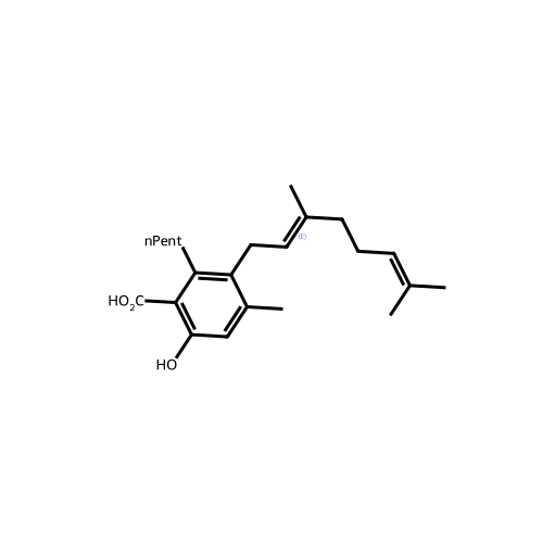 CCCCCc1c(C/C=C(\C)CCC=C(C)C)c(C)cc(O)c1C(=O)O